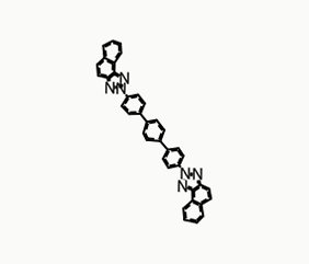 c1ccc2c(c1)ccc1nn(-c3ccc(-c4ccc(-c5ccc(-n6nc7ccc8ccccc8c7n6)cc5)cc4)cc3)nc12